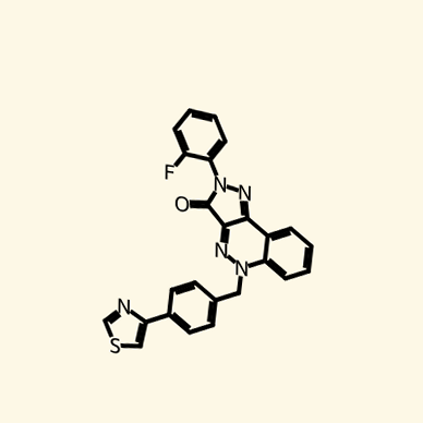 O=c1c2nn(Cc3ccc(-c4cscn4)cc3)c3ccccc3c-2nn1-c1ccccc1F